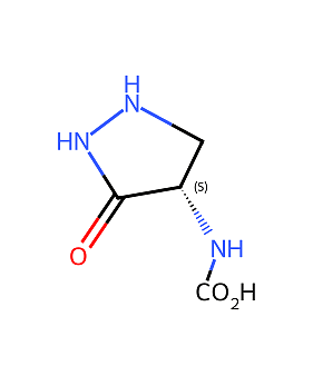 O=C(O)N[C@H]1CNNC1=O